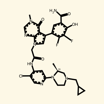 C[C@H]1CN(CC2CC2)CCN1c1cc(NC(=O)Cn2cc(-c3cc(C(N)=O)c(O)c(F)c3F)c3c(=O)n(C)cnc32)c(Cl)cn1